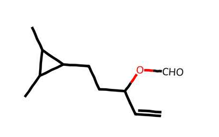 C=CC(CCC1C(C)C1C)OC=O